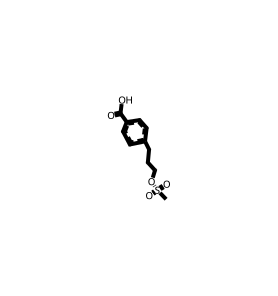 CS(=O)(=O)OCCCc1ccc(C(=O)O)cc1